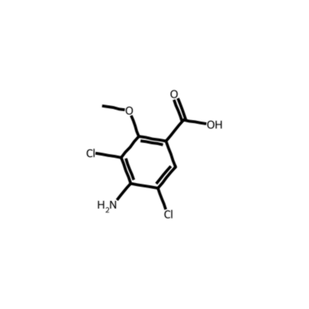 COc1c(C(=O)O)cc(Cl)c(N)c1Cl